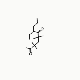 CCCC(CC)C(=O)C(C)(C)CC(C)(C)C(C)=O